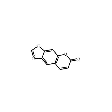 O=c1ccc2cc3ncoc3cc2o1